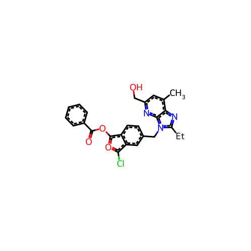 CCc1nc2c(C)cc(CO)nc2n1Cc1ccc2c(OC(=O)c3ccccc3)oc(Cl)c2c1